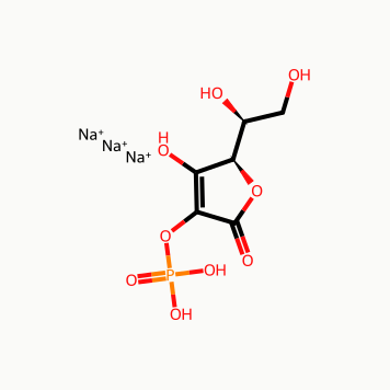 O=C1O[C@H]([C@@H](O)CO)C(O)=C1OP(=O)(O)O.[Na+].[Na+].[Na+]